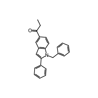 CCC(=O)c1ccc2c(c1)cc(-c1ccccc1)n2Cc1ccccc1